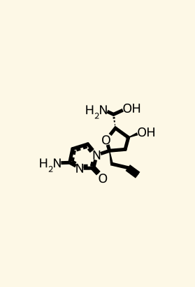 C#CC[C@]1(n2ccc(N)nc2=O)C[C@H](O)[C@@H](C(N)O)O1